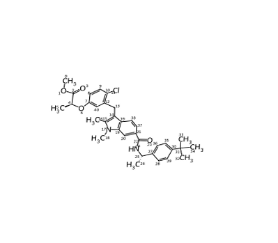 COC(=O)[C@H](C)Oc1ccc(Cl)c(Cc2c(C)n(C)c3cc(C(=O)N[C@@H](C)c4ccc(C(C)(C)C)cc4)ccc23)c1